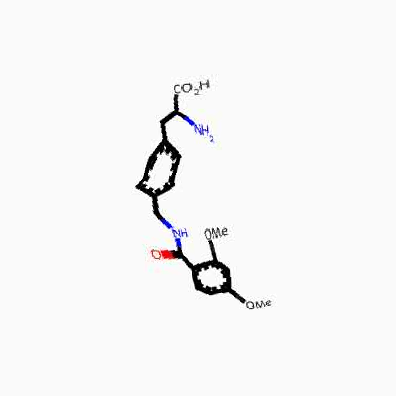 COc1ccc(C(=O)NCc2ccc(CC(N)C(=O)O)cc2)c(OC)c1